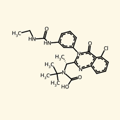 CCNC(=O)Nc1cccc(-n2c([C@@H](C)N(C(=O)O)C(C)(C)C)nc3cccc(Cl)c3c2=O)c1